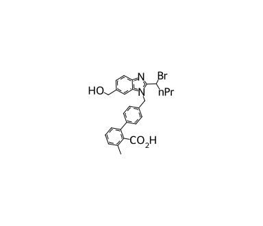 CCCC(Br)c1nc2ccc(CO)cc2n1Cc1ccc(-c2cccc(C)c2C(=O)O)cc1